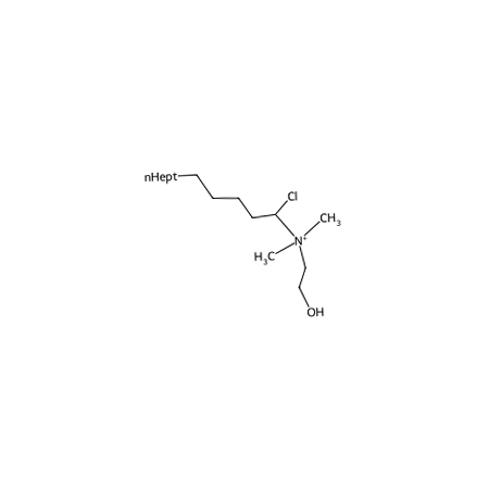 CCCCCCCCCCCC(Cl)[N+](C)(C)CCO